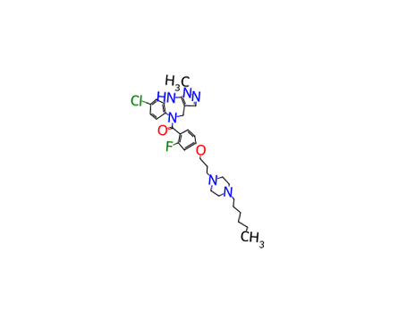 CCCCCCN1CCN(CCCOc2ccc(C(=O)N3Cc4cnn(C)c4Nc4cc(Cl)ccc43)c(F)c2)CC1